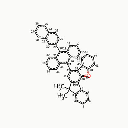 CC1(C)c2ccccc2-c2c1cc(-c1c3ccccc3c(-c3ccc4ccccc4c3)c3ccccc13)c1c2oc2ccccc21